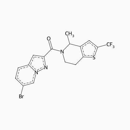 CC1c2cc(C(F)(F)F)sc2CCN1C(=O)c1cc2ccc(Br)cn2n1